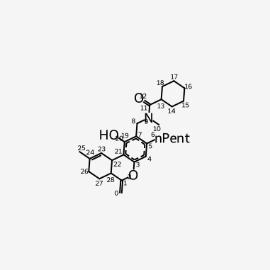 C=C1Oc2cc(CCCCC)c(CN(C)C(=O)C3CCCCC3)c(O)c2C2C=C(C)CCC12